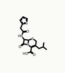 CC(C)CC1=C(C(=O)O)N2C(=O)C(NC(=O)Cc3cccs3)C2SC1